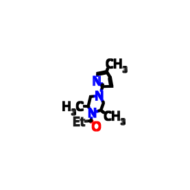 CCC(=O)N1C(C)CN(c2ccc(C)cn2)CC1C